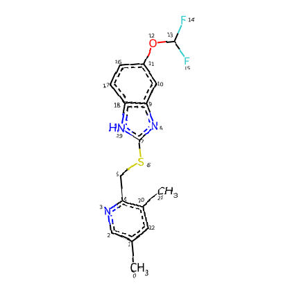 Cc1cnc(CSc2nc3cc(OC(F)F)ccc3[nH]2)c(C)c1